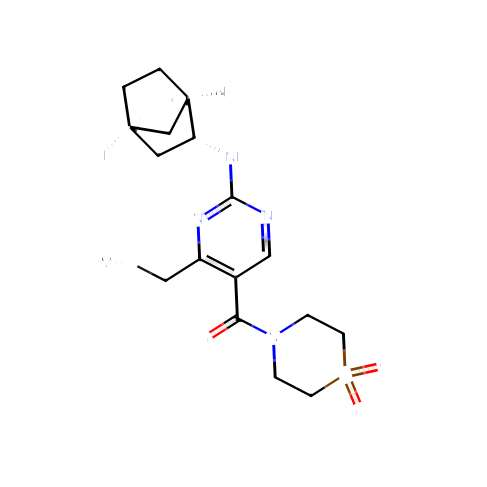 COCc1nc(N[C@@H]2C[C@H]3CC[C@@H]2C3)ncc1C(=O)N1CCS(=O)(=O)CC1